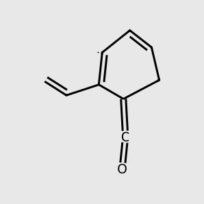 C=CC1=[C]C=CCC1=C=O